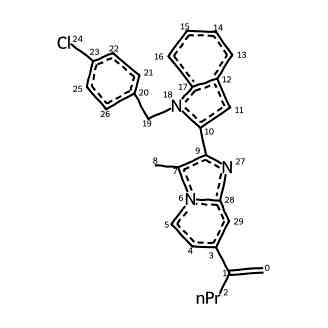 C=C(CCC)c1ccn2c(C)c(-c3cc4ccccc4n3Cc3ccc(Cl)cc3)nc2c1